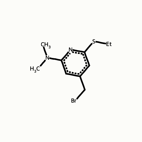 CCSc1cc(CBr)cc(N(C)C)n1